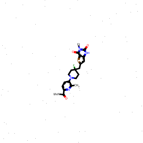 CCn1c(=O)[nH]c2cc(CC3(F)CCN(c4ccc(C(=O)NC)nc4C)CC3)sc2c1=O